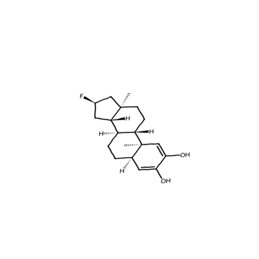 C[C@]12CC[C@H]3[C@@H](CC[C@@H]4C=C(O)C(O)=C[C@@]43C)[C@@H]1C[C@@H](F)C2